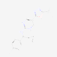 Fc1ccc(C(Nc2ncc(-c3nnc(C(F)F)o3)cn2)C2CC2)cc1